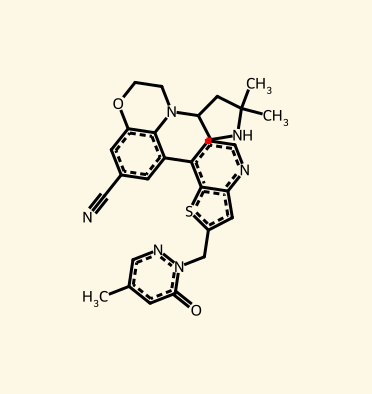 Cc1cnn(Cc2cc3nccc(-c4cc(C#N)cc5c4N(C4CNC(C)(C)C4)CCO5)c3s2)c(=O)c1